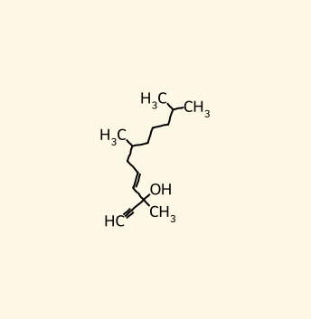 C#CC(C)(O)C=CCC(C)CCCC(C)C